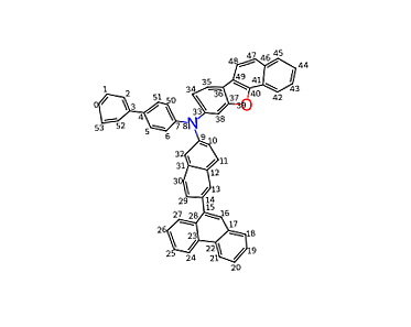 c1ccc(-c2ccc(N(c3ccc4cc(-c5cc6ccccc6c6ccccc56)ccc4c3)c3ccc4c(c3)oc3c5ccccc5ccc43)cc2)cc1